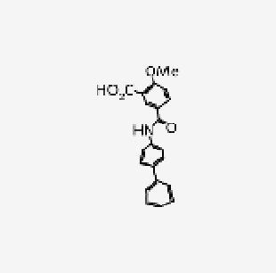 COc1ccc(C(=O)Nc2ccc(-c3ccccc3)cc2)cc1C(=O)O